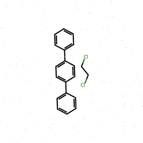 ClCCCl.c1ccc(-c2ccc(-c3ccccc3)cc2)cc1